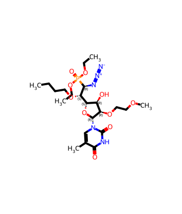 CCCCO[C@@H]([C@H]1O[C@@H](n2cc(C)c(=O)[nH]c2=O)[C@H](OCCOC)[C@@H]1O)[C@H](N=[N+]=[N-])P(=O)(OCC)OCC